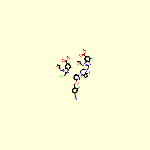 COC(=O)c1cc(F)c2nc(CCl)n(C[C@@H]3CCO3)c2c1.COC(=O)c1cc(F)c2nc(CN3CCN(c4cccc(OCc5ccc(C#N)cc5F)n4)[C@@H]4CC[C@H]43)n(C[C@@H]3CCO3)c2c1